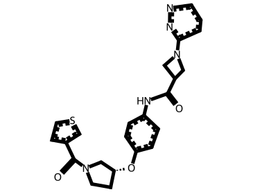 O=C(Nc1ccc(O[C@@H]2CCN(C(=O)c3ccsc3)C2)cc1)C1CN(c2cccnn2)C1